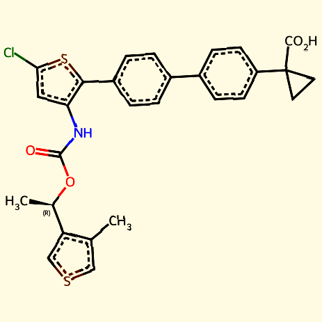 Cc1cscc1[C@@H](C)OC(=O)Nc1cc(Cl)sc1-c1ccc(-c2ccc(C3(C(=O)O)CC3)cc2)cc1